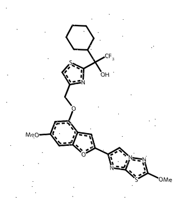 COc1cc(OCc2csc(C(O)(C3CCCCC3)C(F)(F)F)n2)c2cc(-c3cn4nc(OC)sc4n3)oc2c1